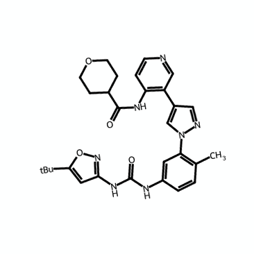 Cc1ccc(NC(=O)Nc2cc(C(C)(C)C)on2)cc1-n1cc(-c2cnccc2NC(=O)C2CCOCC2)cn1